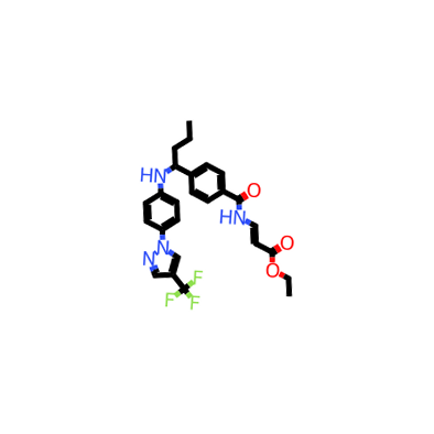 CCCC(Nc1ccc(-n2cc(C(F)(F)F)cn2)cc1)c1ccc(C(=O)N/C=C/C(=O)OCC)cc1